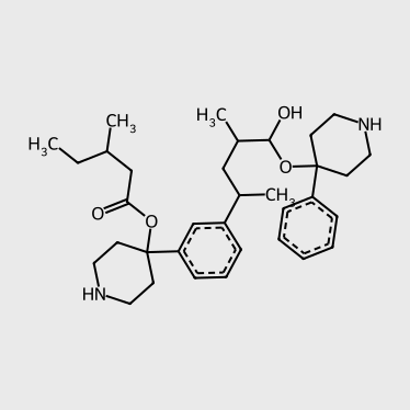 CCC(C)CC(=O)OC1(c2cccc(C(C)CC(C)C(O)OC3(c4ccccc4)CCNCC3)c2)CCNCC1